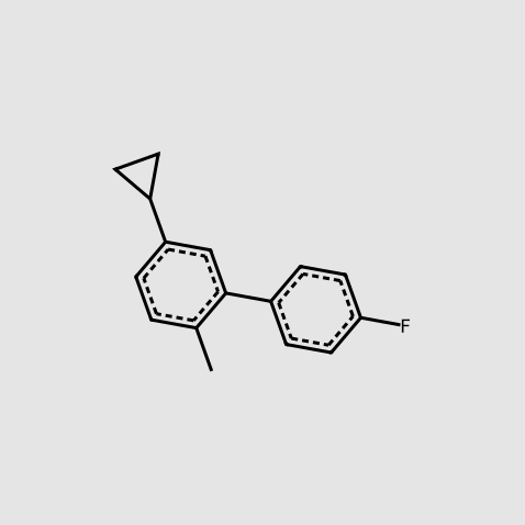 Cc1ccc(C2CC2)cc1-c1ccc(F)cc1